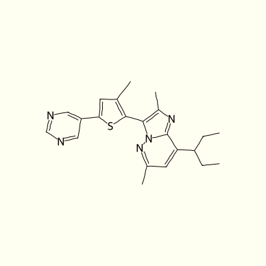 CCC(CC)c1cc(C)nn2c(-c3sc(-c4cncnc4)cc3C)c(C)nc12